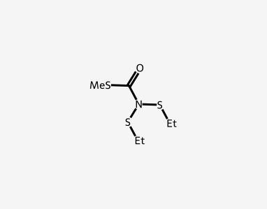 [CH2]SC(=O)N(SCC)SCC